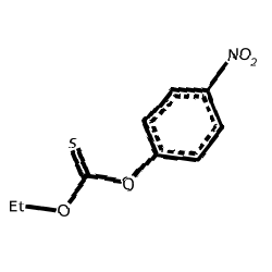 CCOC(=S)Oc1ccc([N+](=O)[O-])cc1